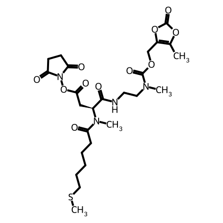 CSCCCCCC(=O)N(C)[C@@H](CC(=O)ON1C(=O)CCC1=O)C(=O)NCCN(C)C(=O)OCc1oc(=O)oc1C